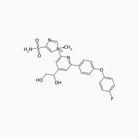 C[N@+]1(c2cc(C(O)CO)cc(-c3ccc(Oc4ccc(F)cc4)cc3)n2)C=NC(S(N)(=O)=O)=C1